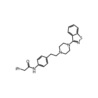 CC(C)CC(=O)Nc1ccc(CCN2CCN(c3nsc4ccccc34)CC2)cc1